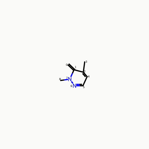 C=C1C(C)=CC=NN1C